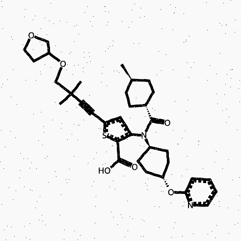 CC(C)(C#Cc1cc(N(C(=O)[C@H]2CC[C@H](C)CC2)[C@H]2CC[C@H](Oc3ccccn3)CC2)c(C(=O)O)s1)COC1CCOC1